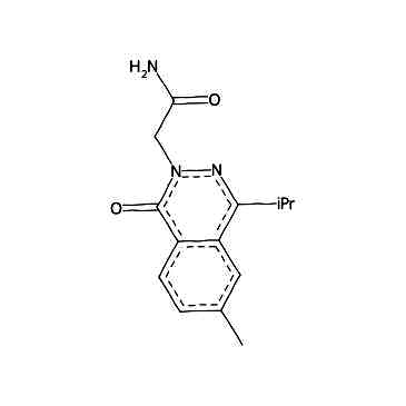 Cc1ccc2c(=O)n(CC(N)=O)nc(C(C)C)c2c1